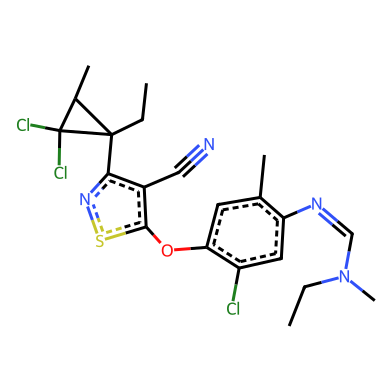 CCN(C)/C=N\c1cc(Cl)c(Oc2snc(C3(CC)C(C)C3(Cl)Cl)c2C#N)cc1C